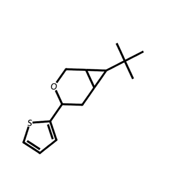 CC(C)(C)C1C2COC(c3cccs3)CC21